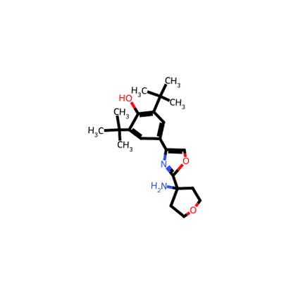 CC(C)(C)c1cc(-c2coc(C3(N)CCOCC3)n2)cc(C(C)(C)C)c1O